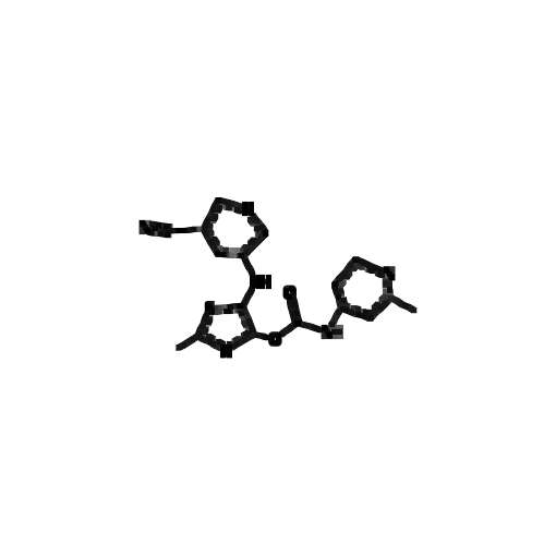 Cc1cc(NC(=O)Oc2nc(C)sc2Nc2cncc(C#N)c2)ccn1